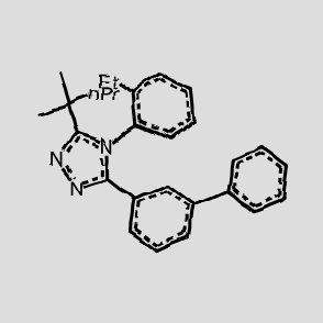 CCCC(C)(C)c1nnc(-c2cccc(-c3ccccc3)c2)n1-c1ccccc1CC